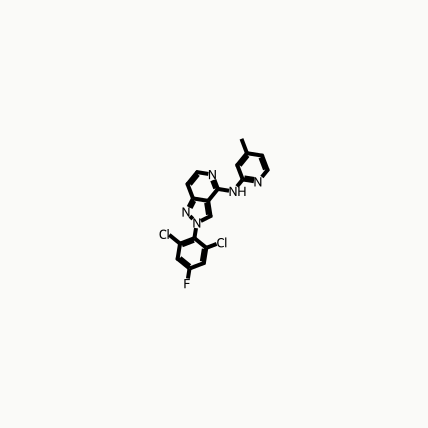 Cc1ccnc(Nc2nccc3nn(-c4c(Cl)cc(F)cc4Cl)cc23)c1